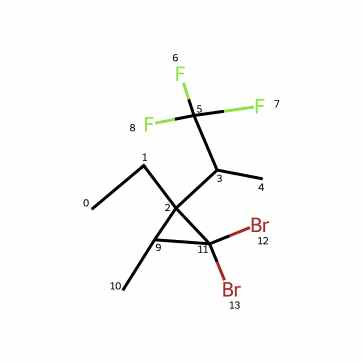 CCC1(C(C)C(F)(F)F)C(C)C1(Br)Br